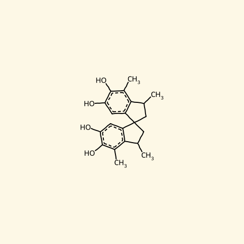 Cc1c(O)c(O)cc2c1C(C)CC21CC(C)c2c1cc(O)c(O)c2C